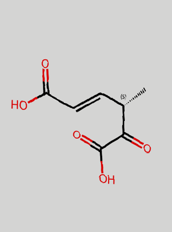 C[C@@H](C=CC(=O)O)C(=O)C(=O)O